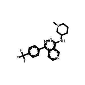 CN1CCCC(Nc2nnc(-c3ccc(C(F)(F)F)cc3)c3ccncc23)C1